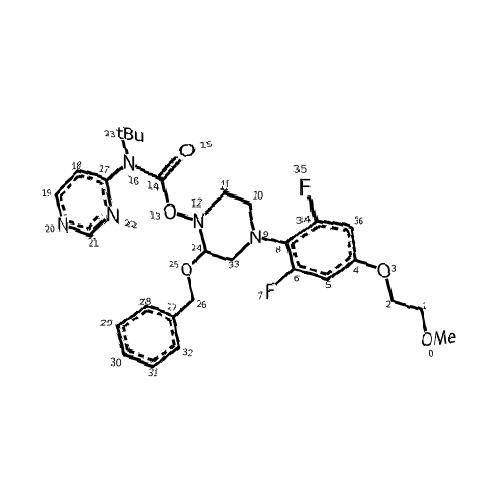 COCCOc1cc(F)c(N2CCN(OC(=O)N(c3ccncn3)C(C)(C)C)C(OCc3ccccc3)C2)c(F)c1